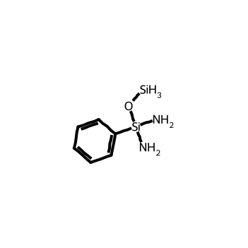 N[Si](N)(O[SiH3])c1ccccc1